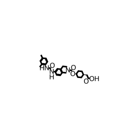 Cc1ccc(NC(=O)Nc2ccc3c(c2)CCN(C(=O)O[C@H]2CC[C@H](CC(=O)O)CC2)C3)c(C)c1